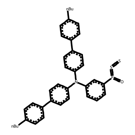 CCCCc1ccc(-c2ccc(N(c3ccc(-c4ccc(CCCC)cc4)cc3)c3cccc(P(=O)=S=S)c3)cc2)cc1